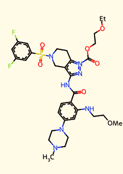 CCOCCOC(=O)n1nc(NC(=O)c2ccc(N3CCN(C)CC3)cc2NCCOC)c2c1CCN(S(=O)(=O)c1cc(F)cc(F)c1)C2